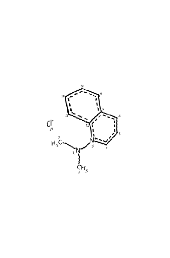 CN(C)[n+]1cccc2ccccc21.[Cl-]